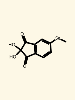 C[Se]c1ccc2c(c1)C(=O)C(O)(O)C2=O